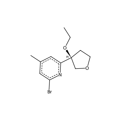 CCO[C@@]1(c2cc(C)cc(Br)n2)CCOC1